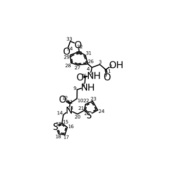 O=C(O)CC(NC(=O)NCCC(=O)N(Cc1cccs1)Cc1cccs1)c1ccc2c(c1)OCO2